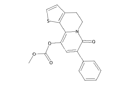 COC(=O)Oc1cc(-c2ccccc2)c(=O)n2c1-c1sccc1CC2